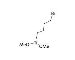 C[O][Ti]([CH2]CCCBr)[O]C